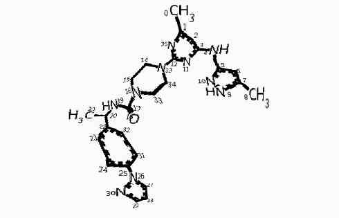 Cc1cc(Nc2cc(C)[nH]n2)nc(N2CCN(C(=O)N[C@H](C)c3ccc(-n4cccn4)cc3)CC2)n1